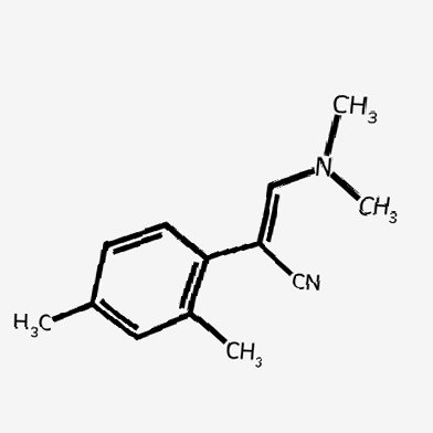 Cc1ccc(/C(C#N)=C/N(C)C)c(C)c1